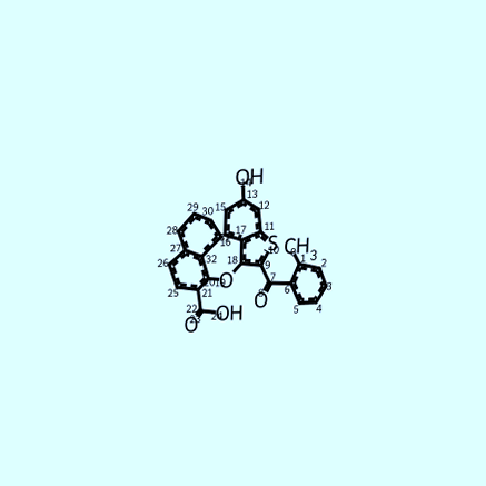 Cc1ccccc1C(=O)c1sc2cc(O)ccc2c1Oc1c(C(=O)O)ccc2ccccc12